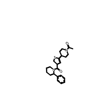 CC(=O)N1CCC(C2=CC(C(=O)N3CCCCC3c3ccccc3)CS2)CC1